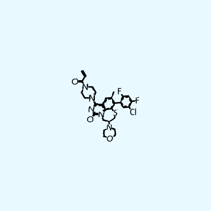 C=CC(=O)N1CCN(c2nc(=O)n3c4c(c(-c5cc(Cl)c(F)cc5F)c(C)cc24)SCC(N2CCOCC2)C3)CC1